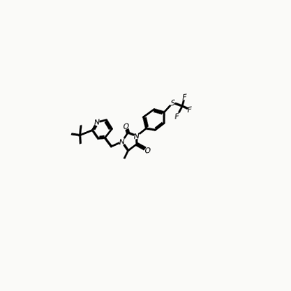 CC1C(=O)N(c2ccc(SC(F)(F)F)cc2)C(=O)N1Cc1ccnc(C(C)(C)C)c1